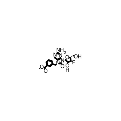 COC(=O)c1cccc(Cn2c(=O)n([C@@H]3O[C@H](CO)[C@@H](F)[C@H]3O)c3nc(N)ncc32)c1